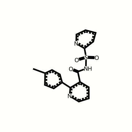 Cc1ccc(-c2ncccc2C(=O)NS(=O)(=O)c2ccccn2)cc1